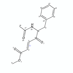 COC(=O)/C=C/C(=O)C(Cc1ccccc1)NC(C)=O